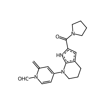 C=C1C=C(N2CCCc3cc(C(=O)N4CCCC4)[nH]c32)C=CN1C=O